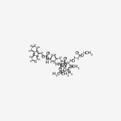 CCOC(=O)CCOCC(NC(=O)C(Cc1ccc(NC(=O)OCC2c3ccccc3-c3ccccc32)cc1)NC(=O)OC(C)(C)C)C(C)C